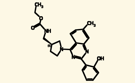 CCOC(=O)NC[C@@H]1CCN(c2nc(-c3ccccc3O)nc3cc(C)ccc23)C1